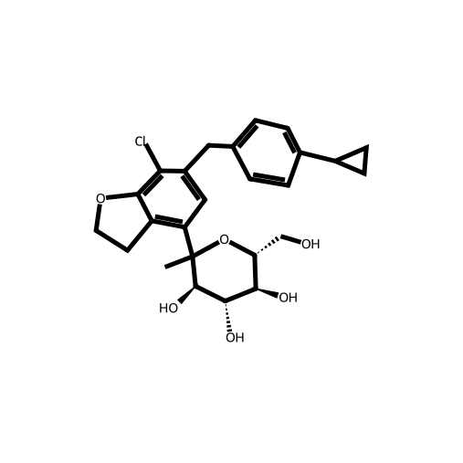 CC1(c2cc(Cc3ccc(C4CC4)cc3)c(Cl)c3c2CCO3)O[C@H](CO)[C@@H](O)[C@H](O)[C@H]1O